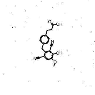 COc1cc(C#N)c(Cc2ccc(CCC(=O)O)cc2)c(C#N)c1O